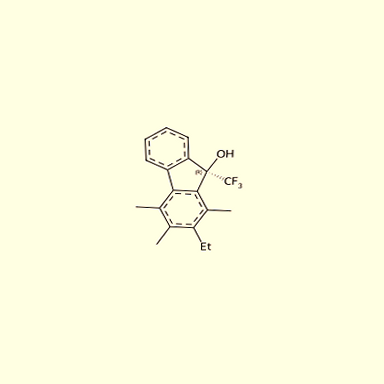 CCc1c(C)c(C)c2c(c1C)[C@@](O)(C(F)(F)F)c1ccccc1-2